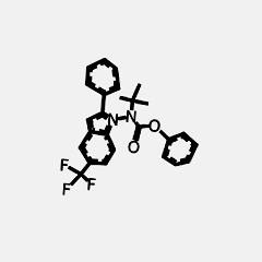 CC(C)(C)N(C(=O)Oc1ccccc1)n1c(-c2ccccc2)cc2cc(C(F)(F)F)ccc21